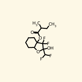 CCC(C)C(=O)OC12CCCCC1OC(O)(C(F)F)C2(F)F